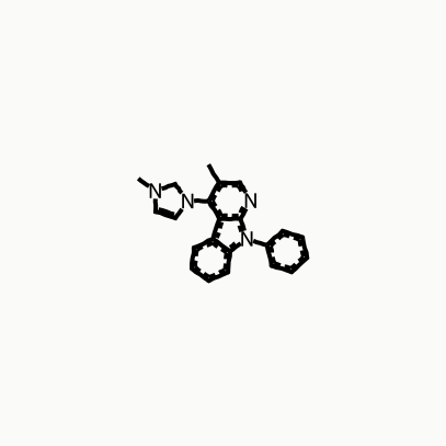 Cc1cnc2c(c1N1C=CN(C)C1)c1ccccc1n2-c1ccccc1